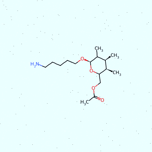 CC(=O)OCC1O[C@@H](OCCCCCN)C(C)[C@@H](C)[C@H]1C